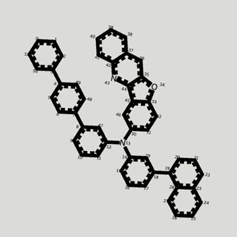 c1ccc(-c2ccc(-c3cccc(N(c4cccc(-c5cccc6ccccc56)c4)c4ccc5oc6cc7ccccc7nc6c5c4)c3)cc2)cc1